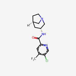 O=C(N[C@@H]1C[C@H]2CCN(C2)C1)c1cc(C(F)(F)F)c(Cl)cn1